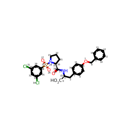 O=C(O)[C@H](Cc1ccc(OCc2ccccc2)cc1)NC(=O)[C@@H]1CCCN1S(=O)(=O)c1cc(Cl)cc(Cl)c1